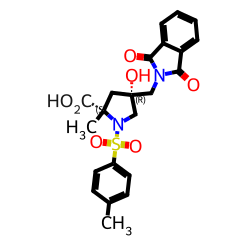 Cc1ccc(S(=O)(=O)N2C[C@](O)(CN3C(=O)c4ccccc4C3=O)C[C@@]2(C)C(=O)O)cc1